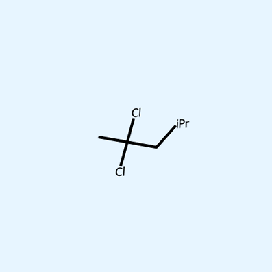 CC(C)CC(C)(Cl)Cl